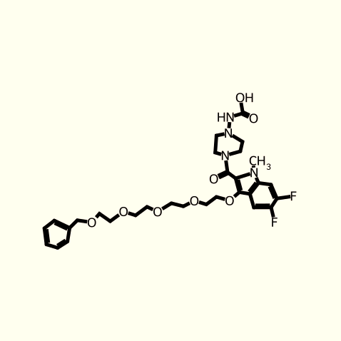 Cn1c(C(=O)N2CCN(NC(=O)O)CC2)c(OCCOCCOCCOCCOCc2ccccc2)c2cc(F)c(F)cc21